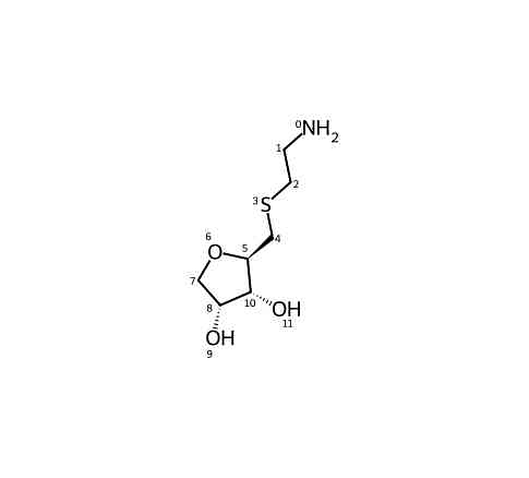 NCCSC[C@@H]1OC[C@@H](O)[C@H]1O